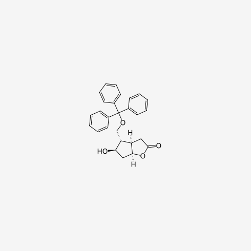 O=C1C[C@@H]2[C@@H](COC(c3ccccc3)(c3ccccc3)c3ccccc3)[C@H](O)C[C@@H]2O1